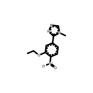 CCOc1cc(-c2nncn2C)ccc1[N+](=O)[O-]